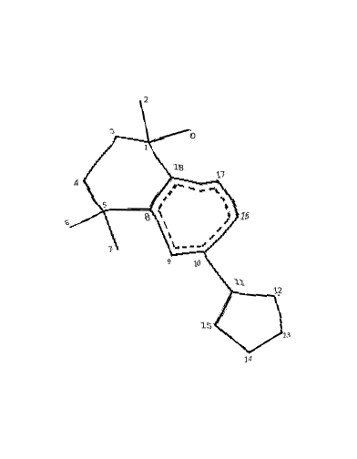 CC1(C)CCC(C)(C)c2cc(C3[CH]CCC3)ccc21